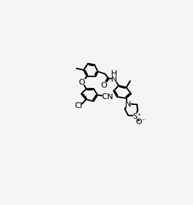 Cc1cc(N2CC[S+]([O-])CC2)ccc1NC(=O)Cc1ccc(C)c(Oc2cc(Cl)cc(C#N)c2)c1